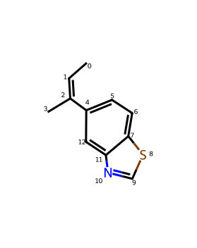 C/C=C(/C)c1ccc2scnc2c1